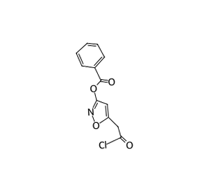 O=C(Cl)Cc1cc(OC(=O)c2ccccc2)no1